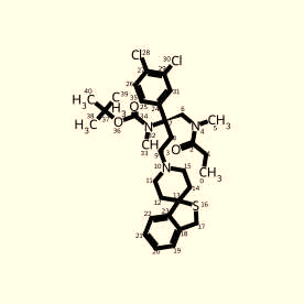 CCC(=O)N(C)C[C@](CCN1CCC2(CC1)SCc1ccccc12)(c1ccc(Cl)c(Cl)c1)N(C)C(=O)OC(C)(C)C